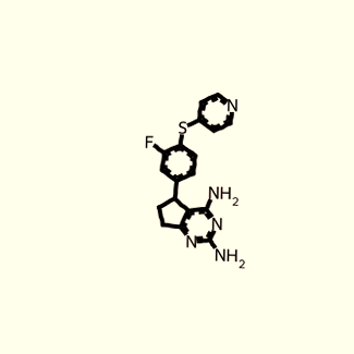 Nc1nc(N)c2c(n1)CCC2c1ccc(Sc2ccncc2)c(F)c1